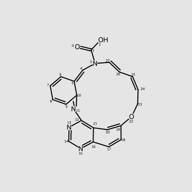 O=C(O)N1/C=c2/cccc/c2=N\c2ncnc3ccc(cc23)OC/C=C\C=C\1